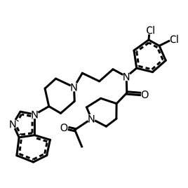 CC(=O)N1CCC(C(=O)N(CCCN2CCC(n3cnc4ccccc43)CC2)c2ccc(Cl)c(Cl)c2)CC1